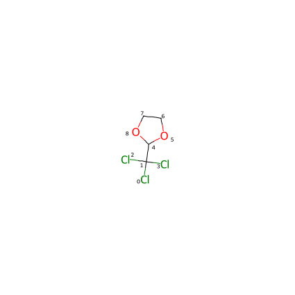 ClC(Cl)(Cl)C1OCCO1